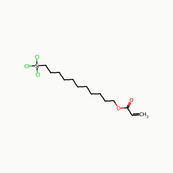 C=CC(=O)OCCCCCCCCCCC[Si](Cl)(Cl)Cl